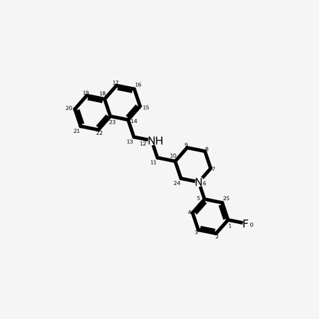 Fc1cccc(N2CCCC(CNCc3cccc4ccccc34)C2)c1